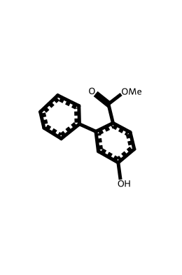 COC(=O)c1ccc(O)cc1-c1ccccc1